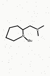 CCC(C)N1CCCCC1CN(C)C